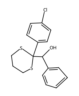 OC(c1ccccc1)C1(c2ccc(Cl)cc2)SCCCS1